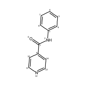 O=C(Nc1c[c]ccc1)c1ccncc1